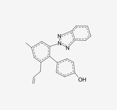 C=CCc1cc(C)cc(-n2nc3ccccc3n2)c1-c1ccc(O)cc1